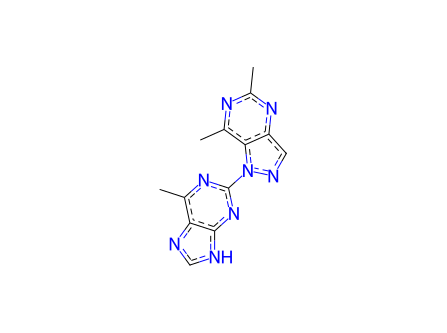 Cc1nc(C)c2c(cnn2-c2nc(C)c3nc[nH]c3n2)n1